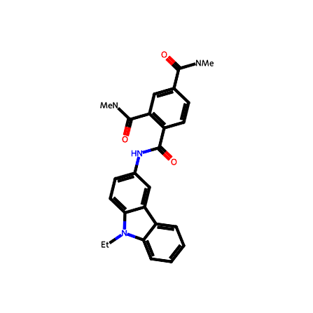 CCn1c2ccccc2c2cc(NC(=O)c3ccc(C(=O)NC)cc3C(=O)NC)ccc21